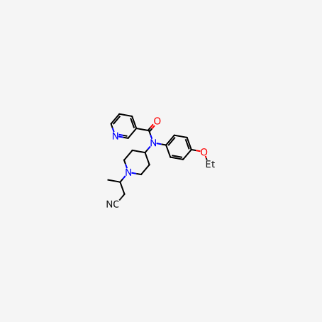 CCOc1ccc(N(C(=O)c2cccnc2)C2CCN(C(C)CC#N)CC2)cc1